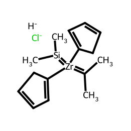 C[C](C)=[Zr]([C]1=CC=CC1)([C]1=CC=CC1)=[Si](C)C.[Cl-].[H-]